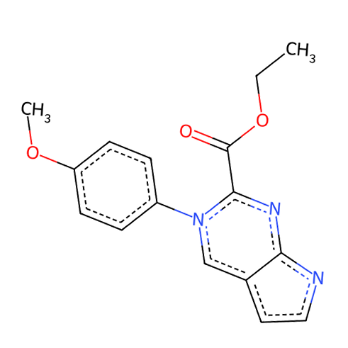 CCOC(=O)c1nc2nccc-2cn1-c1ccc(OC)cc1